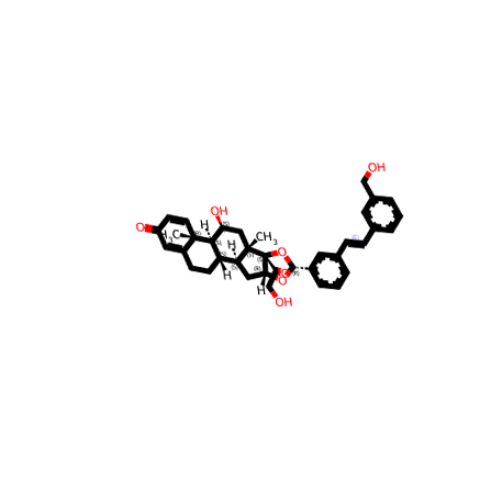 C[C@]12C=CC(=O)C=C1CC[C@@H]1[C@@H]2[C@@H](O)C[C@@]2(C)[C@H]1C[C@H]1O[C@@H](c3cccc(/C=C/c4cccc(CO)c4)c3)O[C@]12C(=O)CO